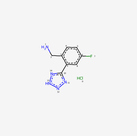 Cl.NCc1ccc(F)cc1-c1nn[nH]n1